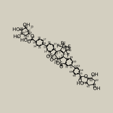 CCC1=C(C2=C(C3=C(CC)S(=O)(=O)c4cc(-c5ccc(C(=O)O[C@H]6[C@@H](C)[C@H](O)[C@@H](O)[C@H](O)[C@H]6O)cc5)ccc43)C(F)(F)C(F)(F)C2(F)F)c2ccc(-c3ccc(C(=O)O[C@@H]4[C@H](O)C[C@H](O)C[C@@H]4O)cc3)cc2S1(=O)=O